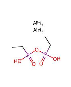 CCP(=O)(O)OP(=O)(O)CC.[AlH3].[AlH3]